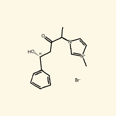 CC(C(=O)C[C@@H](O)c1ccccc1)n1cc[n+](C)c1.[Br-]